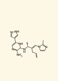 C=CC/C(=C\n1ccnc1C)[C@H](C)NC1NC(c2cn[nH]c2)=CN=C1N